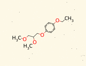 CCOc1ccc(OCC(COC)OC)cc1